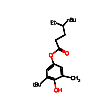 CCCCC(CC)CCC(=O)Oc1cc(C)c(O)c(C(C)(C)C)c1